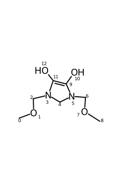 COCN1CN(COC)C(O)=C1O